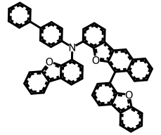 c1ccc(-c2ccc(N(c3cccc4c3oc3ccccc34)c3cccc4c3oc3c(-c5cccc6c5oc5ccccc56)c5ccccc5cc34)cc2)cc1